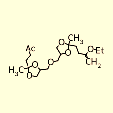 C=C(CCC1(C)OCC(COCC2COC(C)(CCC(C)=O)O2)O1)OCC